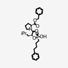 CC(C)C[C@H](OP(=O)(O)CCCCc1ccccc1)C(=O)N1CCC[C@H]1C(=O)OCc1ccccc1